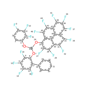 Fc1ccc(OB(Oc2c(F)c(F)c(F)c(F)c2-c2ccccc2)Oc2c(F)c(F)c3c(F)c(F)c4c(F)c(F)c(F)c5c(F)c(F)c2c3c45)c(F)c1F